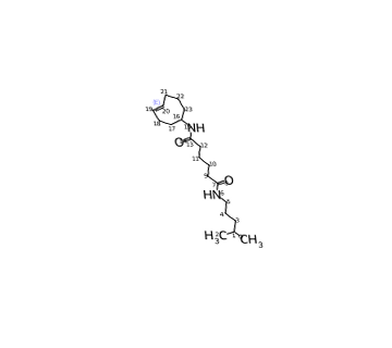 CC(C)CCCNC(=O)CCCCC(=O)NC1CC/C=C/CCC1